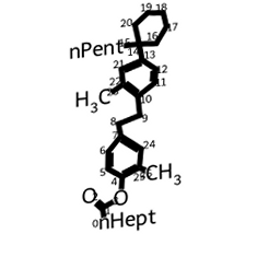 CCCCCCCC(=O)Oc1ccc(CCc2ccc(C3(CCCCC)CCCCC3)cc2C)cc1C